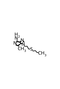 CCCCSCCCn1cnc2c(N)ncc(C)c21